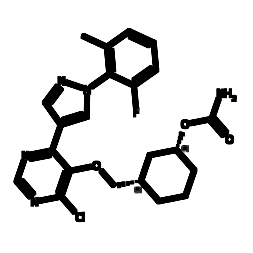 Cc1cccc(F)c1-n1cc(-c2ncnc(Cl)c2OC[C@H]2CCC[C@@H](OC(N)=O)C2)cn1